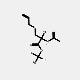 [2H]C([2H])([2H])OC(=O)C([2H])(CSCC=C)NC(C)=O